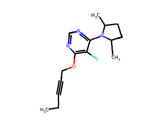 CCC#CCOc1ncnc(N2C(C)CCC2C)c1F